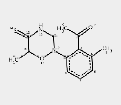 CC(=O)c1c(C)cccc1N1CNC(=S)C(C)O1